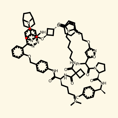 CC(C)C(C(=O)N1CCC[C@H]1C(=O)N[C@@H](C)c1ccc(C#N)cc1)c1cc(OCCN2CCC(O[C@H]3C[C@H](Oc4cc(N5C6CCC5CN(c5cc(-c7ccccc7OCc7ccc(NC(=O)[C@H](CCCCN(C)C)NC(=O)C8(C(=O)NCCCCCN9C(=O)C=CC9=O)CCC8)cc7)nnc5N)C6)ccn4)C3)CC2)no1